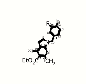 CCOC(=O)c1c(C)nc2c(ccn2Cc2ccc(F)c(F)c2)c1I